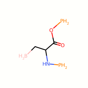 BCC(NP)C(=O)OP